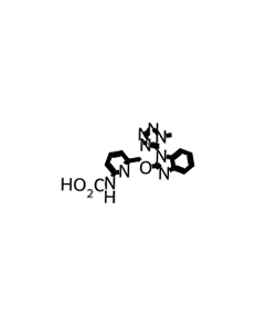 Cn1nnnc1-n1c(OCc2cccc(NC(=O)O)n2)nc2ccccc21